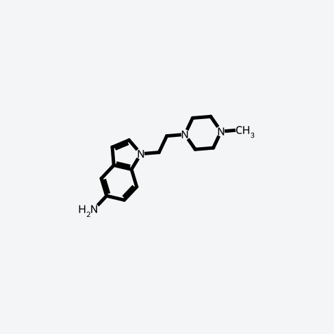 CN1CCN(CCn2ccc3cc(N)ccc32)CC1